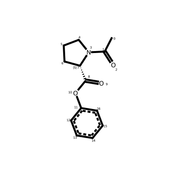 CC(=O)N1CCC[C@H]1C(=O)Oc1ccccc1